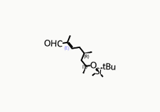 C/C(C=O)=C\C[C@@H](C)C[C@H](C)O[Si](C)(C)C(C)(C)C